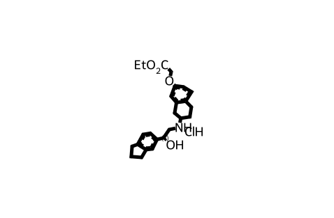 CCOC(=O)COc1ccc2c(c1)CC(NC[C@@H](O)c1ccc3c(c1)CCC3)CC2.Cl